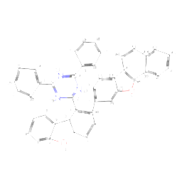 C1=CC2Oc3ccccc3C2C(c2nc(-c3ccccc3)nc(-c3ccccc3)n2)=C1c1ccc2c(c1)oc1c3ccccc3ccc21